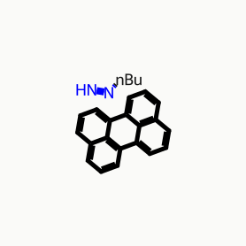 CCCCN=N.c1cc2cccc3c4cccc5cccc(c(c1)c23)c54